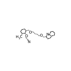 Cc1cccc(COCCCCOCc2ccc3ccccc3n2)c1OCC#N